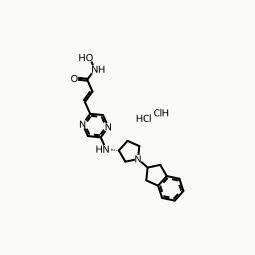 Cl.Cl.O=C(C=Cc1cnc(N[C@@H]2CCN(C3Cc4ccccc4C3)C2)cn1)NO